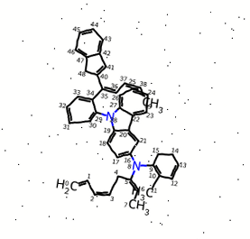 C=C/C=C\C/C(=C\C)N(C1=C(C)C=CCC1)c1ccc2c(c1)c1ccccc1n2-c1ccccc1/C(=C/C=C\C)C1=Cc2ccccc2C1